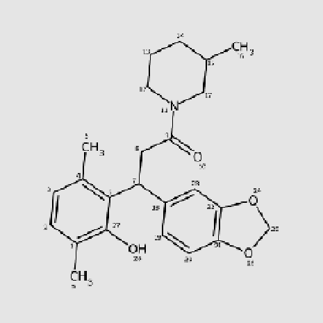 Cc1ccc(C)c(C(CC(=O)N2CCCC(C)C2)c2ccc3c(c2)OCO3)c1O